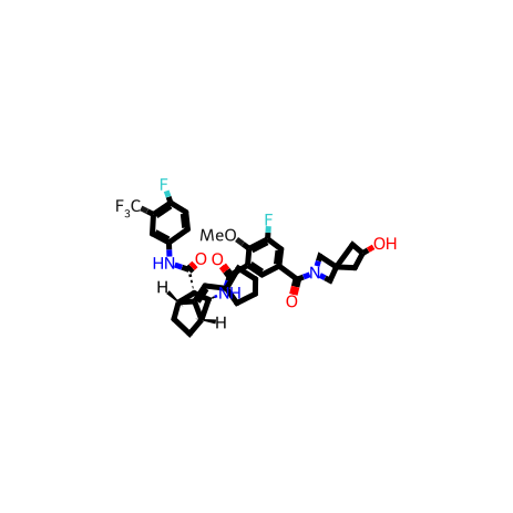 COc1c(F)cc(C(=O)N2CC3(CC(O)C3)C2)cc1C(=O)N[C@H]1[C@@H](C(=O)Nc2ccc(F)c(C(F)(F)F)c2)[C@H]2CC[C@@H]1/C2=C\C1CCCC1